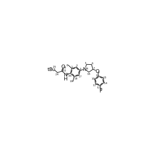 Cc1cc(N2CCC(Oc3ccc(F)cc3)C2)cc(C)c1NC(=O)CC(C)(C)C